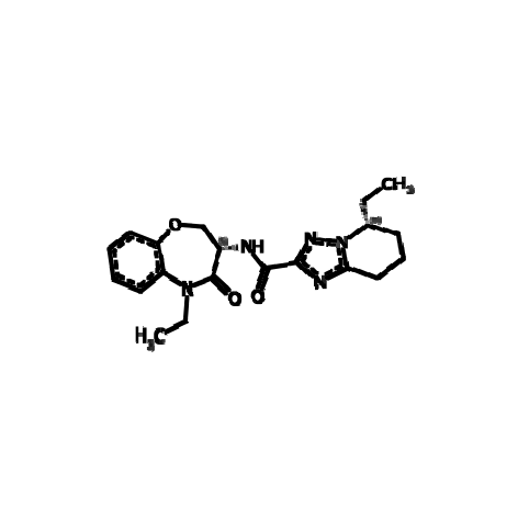 CC[C@@H]1CCCc2nc(C(=O)N[C@H]3COc4ccccc4N(CC)C3=O)nn21